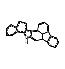 C1=CC2=c3c([nH]c4c3ccc3ccccc34)=CC3c4ccccc4C(=C1)C23